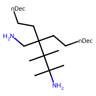 CCCCCCCCCCCCC(CN)(CCCCCCCCCCCC)C(C)(C)C(C)(C)N